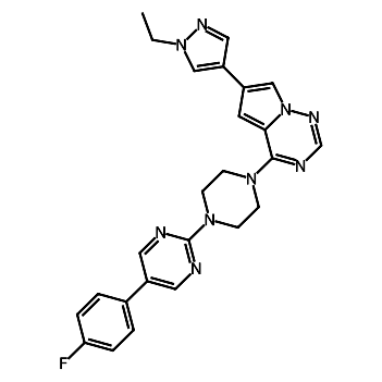 CCn1cc(-c2cc3c(N4CCN(c5ncc(-c6ccc(F)cc6)cn5)CC4)ncnn3c2)cn1